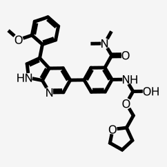 COc1ccccc1-c1c[nH]c2ncc(-c3ccc(NC(O)OCC4CCCO4)c(C(=O)N(C)C)c3)cc12